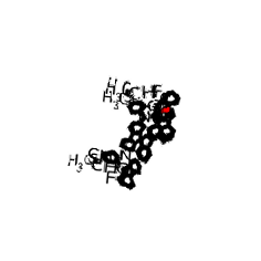 C[Si](C)(C)c1ccc(N(c2ccc3c(c2)C2(c4cc(N(c5ccc([Si](C)(C)C)cc5)c5cccc6c5oc5c(F)cccc56)ccc4-3)c3ccccc3-c3c2cc2c4c(cccc34)-c3ccccc3-2)c2cccc3c2oc2c(F)cccc23)cc1